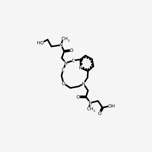 CN(CCO)C(=O)CN1CCOCCN(CC(=O)N(C)CC(=O)O)Cc2cccc(n2)C1